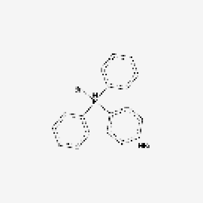 Br.Br[PH](c1ccccc1)(c1ccccc1)c1ccccc1